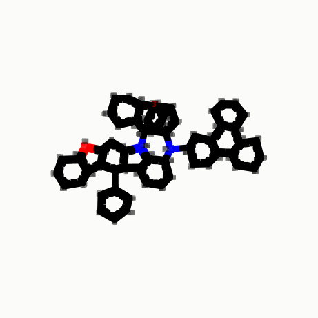 c1ccc(-c2c3c(cc4c2c2cccc(N(c5ccccc5)c5ccc6c7ccccc7c7ccccc7c6c5)c2n4-c2cccc4ccccc24)oc2ccccc23)cc1